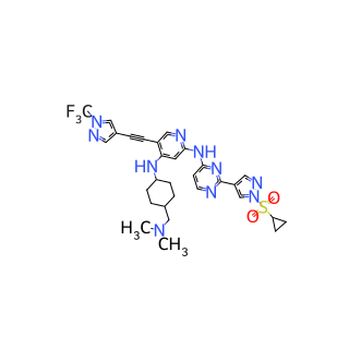 CN(C)CC1CCC(Nc2cc(Nc3ccnc(-c4cnn(S(=O)(=O)C5CC5)c4)n3)ncc2C#Cc2cnn(C(F)(F)F)c2)CC1